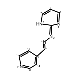 C(=NN=c1nccc[nH]1)c1ccncc1